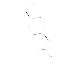 CNC(=O)N[C@H]1CC[C@@H](CC(C)(C)C)CC1